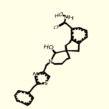 O=C(NO)c1cccc2c1CC1(CCN(Cc3csc(-c4ccccc4)n3)C1O)C2